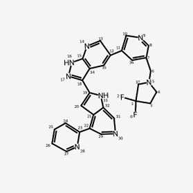 FC1(F)CCN(Cc2cncc(-c3cnc4[nH]nc(-c5cc6c(-c7ccccn7)cncc6[nH]5)c4c3)c2)C1